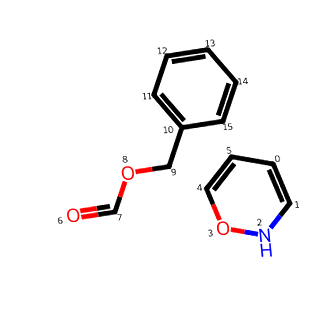 C1=CNOC=C1.O=COCc1ccccc1